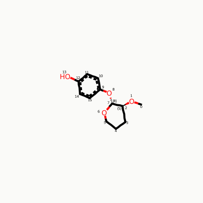 CO[C@H]1CCCO[C@@H]1Oc1ccc(O)cc1